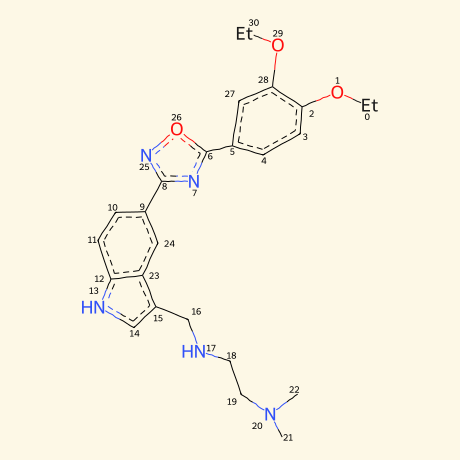 CCOc1ccc(-c2nc(-c3ccc4[nH]cc(CNCCN(C)C)c4c3)no2)cc1OCC